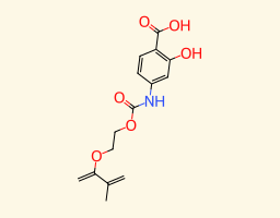 C=C(C)C(=C)OCCOC(=O)Nc1ccc(C(=O)O)c(O)c1